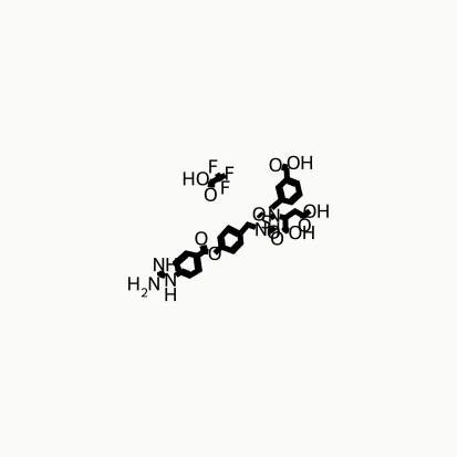 N=C(N)Nc1ccc(C(=O)Oc2ccc(CNS(=O)(=O)N(Cc3cccc(C(=O)O)c3)C(CC(=O)O)C(=O)O)cc2)cc1.O=C(O)C(F)(F)F